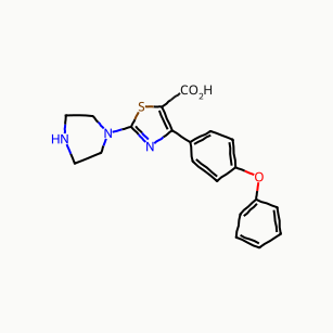 O=C(O)c1sc(N2CCNCC2)nc1-c1ccc(Oc2ccccc2)cc1